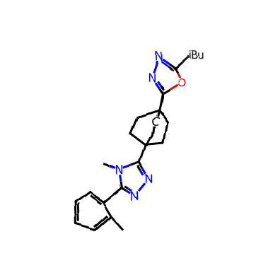 CCC(C)c1nnc(C23CCC(c4nnc(-c5ccccc5C)n4C)(CC2)CC3)o1